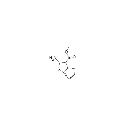 COC(=O)C1C(N)SC2=CC=CCC21